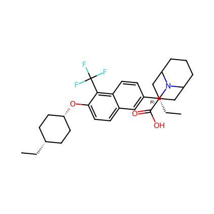 CC[C@H](c1ccc2c(C(F)(F)F)c(O[C@H]3CC[C@@H](CC)CC3)ccc2c1)N1C2CCCC1CC(C(=O)O)C2